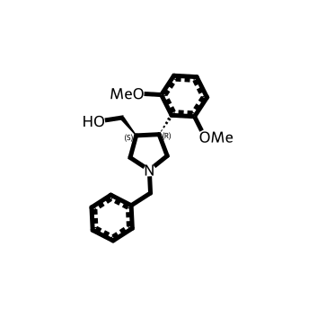 COc1cccc(OC)c1[C@@H]1CN(Cc2ccccc2)C[C@H]1CO